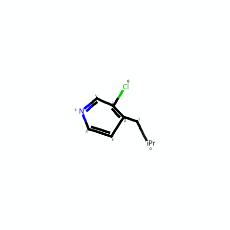 CC(C)Cc1ccncc1Cl